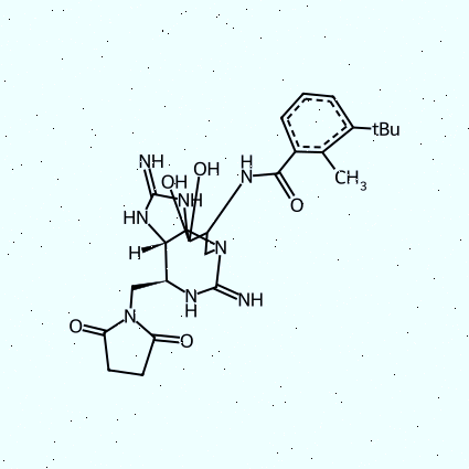 Cc1c(C(=O)NC2CN3C(=N)N[C@@H](CN4C(=O)CCC4=O)[C@@H]4NC(=N)NC43C2(O)O)cccc1C(C)(C)C